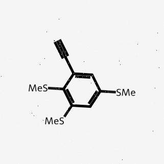 [C]#Cc1cc(SC)cc(SC)c1SC